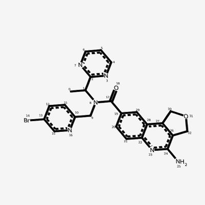 CC(c1ncccn1)N(Cc1ccc(Br)cn1)C(=O)c1ccc2nc(N)c3c(c2c1)COC3